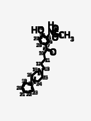 CS(=O)(=O)Nc1cc(C(=O)CCCCN2CCN(c3ccccc3)CC2)ccc1O